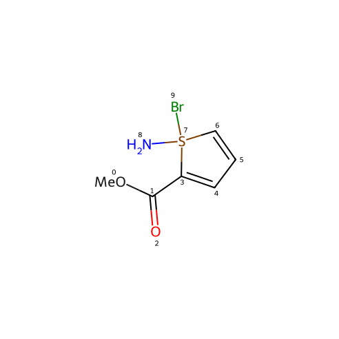 COC(=O)C1=CC=CS1(N)Br